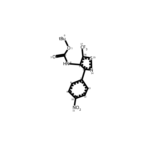 CC(C)(C)OC(=O)Nc1c(-c2ccc([N+](=O)[O-])cc2)nsc1C(F)(F)F